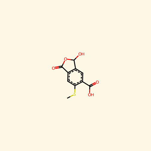 CSc1cc2c(cc1C(=O)O)C(O)OC2=O